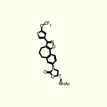 CC(=O)NC[C@H]1CN(c2ccc3c(c2)CCCc2c(-c4csc(OC(F)(F)F)c4)noc2-3)C(=O)O1